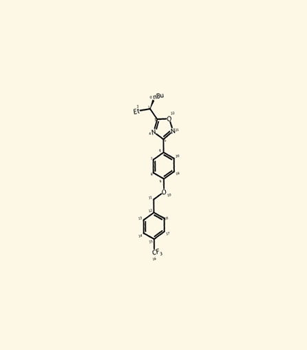 CCCC[C@H](CC)c1nc(-c2ccc(OCc3ccc(C(F)(F)F)cc3)cc2)no1